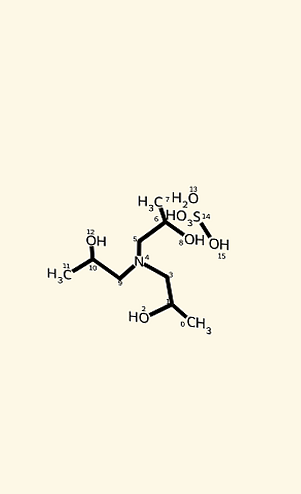 CC(O)CN(CC(C)O)CC(C)O.O.O=S(=O)(O)O